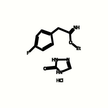 CCOC(=N)Cc1ccc(F)cc1.Cl.O=c1[nH]cn[nH]1